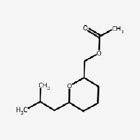 CC(=O)OCC1CCCC(CC(C)C)O1